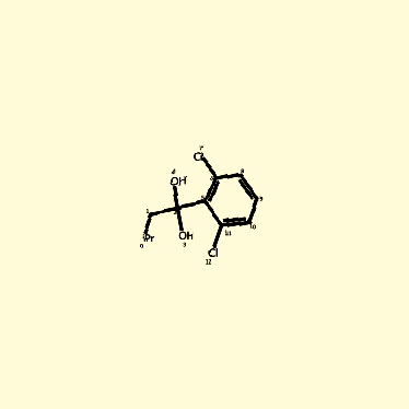 CC(C)CC(O)(O)c1c(Cl)cccc1Cl